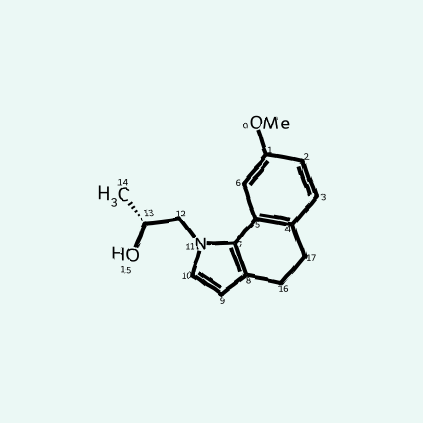 COc1ccc2c(c1)-c1c(ccn1C[C@@H](C)O)CC2